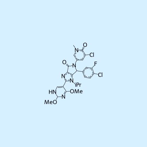 COC1=NC(OC)NC=C1c1nc2c(n1C(C)C)C(c1ccc(Cl)c(F)c1)N(c1cc(Cl)c(=O)n(C)c1)C2=O